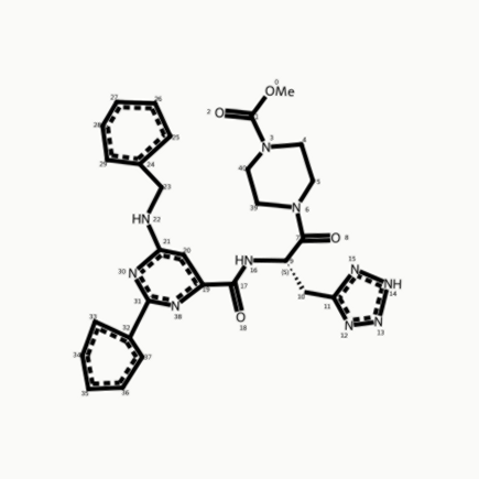 COC(=O)N1CCN(C(=O)[C@H](Cc2nn[nH]n2)NC(=O)c2cc(NCc3ccccc3)nc(-c3ccccc3)n2)CC1